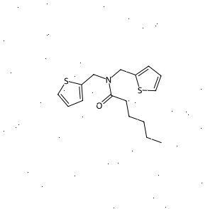 CCCC[CH]C(=O)N(Cc1cccs1)Cc1cccs1